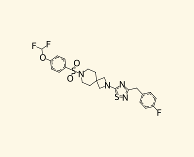 O=S(=O)(c1ccc(OC(F)F)cc1)N1CCC2(CC1)CN(c1nc(Cc3ccc(F)cc3)ns1)C2